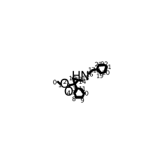 CCOC(=O)C1(c2ccccc2)CC1CNCCc1ccccc1